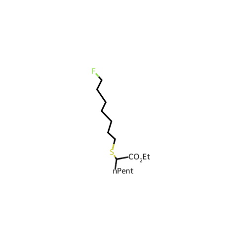 CCCCCC(SCCCCCCCF)C(=O)OCC